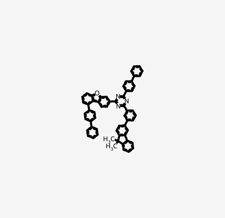 CC1(C)c2ccccc2-c2cc(-c3cccc(-c4nc(-c5ccc(-c6ccccc6)cc5)nc(-c5ccc6c(c5)oc5cccc(-c7ccc(-c8ccccc8)cc7)c56)n4)c3)ccc21